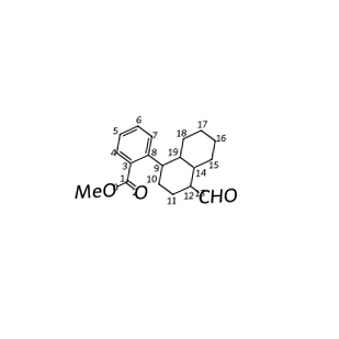 COC(=O)c1ccccc1C1CCC(C=O)C2CCCCC12